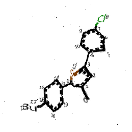 Cc1cc(-c2ccc(Cl)cc2)sc1-c1ccc(C(C)(C)C)cc1